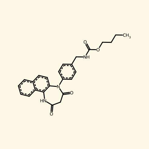 CCCCOC(=O)NCc1ccc(N2C(=O)CC(=O)Nc3c2ccc2ccccc32)cc1